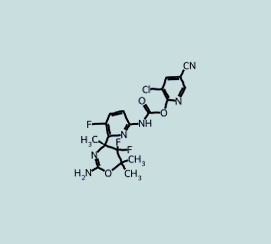 CC1(C)OC(N)=N[C@](C)(c2nc(NC(=O)Oc3ncc(C#N)cc3Cl)ccc2F)C1(F)F